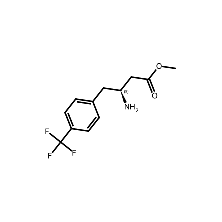 COC(=O)C[C@@H](N)Cc1ccc(C(F)(F)F)cc1